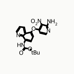 CC(C)(C)OC(=O)Nc1ccc(Oc2ccnc(N)c2[N+](=O)[O-])c2cccnc12